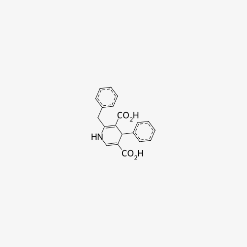 O=C(O)C1=CNC(Cc2ccccc2)=C(C(=O)O)C1c1ccccc1